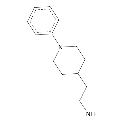 [NH]CCC1CCN(c2ccccc2)CC1